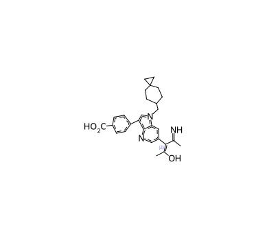 CC(=N)/C(=C(/C)O)c1cnc2c(-c3ccc(C(=O)O)cc3)cn(CC3CCC4(CC3)CC4)c2c1